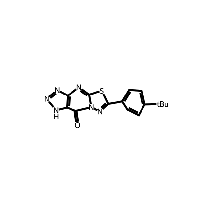 CC(C)(C)c1ccc(-c2nn3c(=O)c4[nH]nnc4nc3s2)cc1